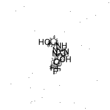 C[C@@]1(O)CCC[C@H](Nc2nnc(-c3ccc(C(F)(F)F)cc3O)c3ccncc23)C1